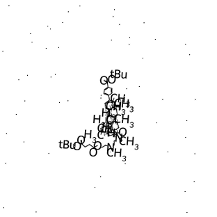 C=C(C)[C@@H]1CC[C@]2(C(=O)N(C)CCN(C)CCOC(=O)CCC(=O)OC(C)(C)C)CC[C@]3(C)[C@H](CC[C@@H]4[C@@]5(C)CC=C(c6ccc(C(=O)OC(C)(C)C)cc6)C(C)(C)[C@@H]5CC[C@]43C)[C@@H]12